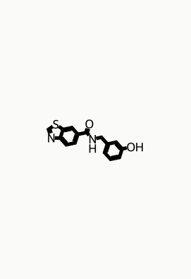 O=C(NCc1cccc(O)c1)c1ccc2ncsc2c1